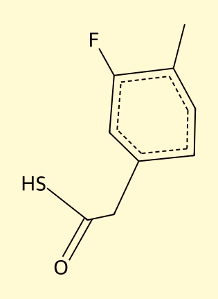 Cc1ccc(CC(=O)S)cc1F